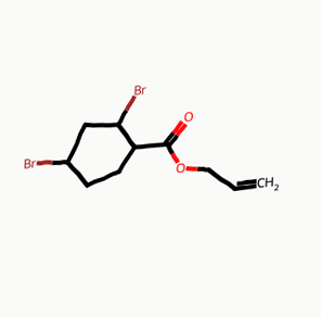 C=CCOC(=O)C1CCC(Br)CC1Br